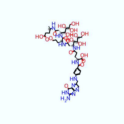 C[C@H](CCC(=O)O)NC(=O)C[C@@H](NC(=O)[C@H](CCC=O)NC(=O)C[C@@H](NC(=O)CC[C@H](NC(=O)c1ccc(NCc2cnc3nc(N)[nH]c(=O)c3n2)cc1)C(=O)O)[C@@H](O)[C@H](O)[C@H](O)CO)[C@@H](O)[C@H](O)[C@H](O)CO